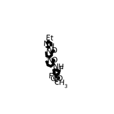 CCc1cnc(N2CC[C@H](N3CCCC(Nc4cc(F)c(S(C)(=O)=O)cc4F)C3=O)CC2=O)cn1